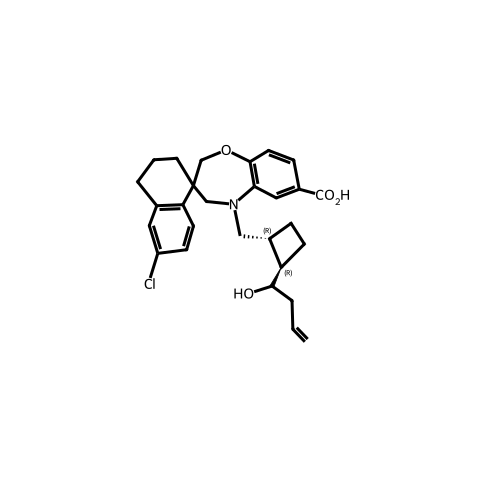 C=CCC(O)[C@@H]1CC[C@H]1CN1CC2(CCCc3cc(Cl)ccc32)COc2ccc(C(=O)O)cc21